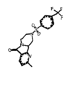 Cc1ccc2c(n1)C1CN(S(=O)(=O)c3ccc(C(F)(F)F)cc3)CCN1C2=O